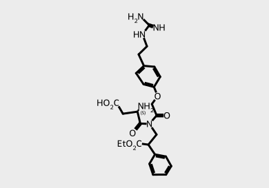 CCOC(=O)C(CN(C(=O)COc1ccc(CCNC(=N)N)cc1)C(=O)[C@@H](N)CC(=O)O)c1ccccc1